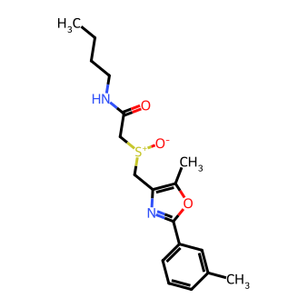 CCCCNC(=O)C[S+]([O-])Cc1nc(-c2cccc(C)c2)oc1C